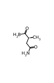 BC(=O)[C@@H](C)CC(N)=O